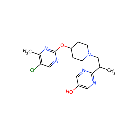 Cc1nc(OC2CCN(CC(C)c3ncc(O)cn3)CC2)ncc1Cl